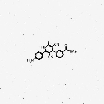 CNC(=O)c1cccc(C2C(C#N)=C(C)NC(c3ccc(N)cc3)=C2C#N)c1